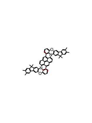 Cc1cc2c(cc1C)C(C)(C)c1cc3c(cc1-2)Oc1ccccc1N3c1ccc2cc(C(C)C)c3c(N4c5ccccc5Oc5cc6c(cc54)C(C)(C)c4cc(C)c(C)cc4-6)ccc4cc(C(C)C)c1c2c43